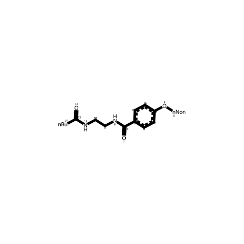 CCCCCCCCCOc1ccc(C(=O)NCCNC(=O)CCCC)cc1